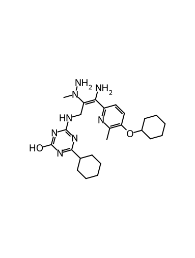 Cc1nc(/C(N)=C(\CNc2nc(O)nc(C3CCCCC3)n2)N(C)N)ccc1OC1CCCCC1